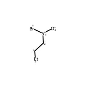 CCCC[S+]([O-])Br